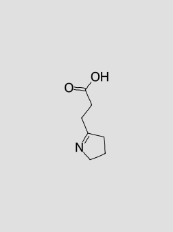 O=C(O)CCC1=NCCC1